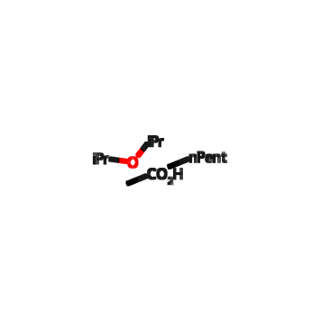 CC(=O)O.CC(C)OC(C)C.CCCCCC